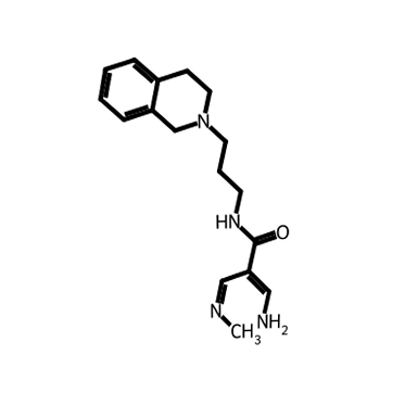 C/N=C\C(=C/N)C(=O)NCCCN1CCc2ccccc2C1